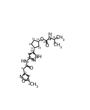 Cc1cc(CC(=O)Nc2cc([C@H]3CC[C@@H](OC(=O)NC(C)C)C3)[nH]n2)no1